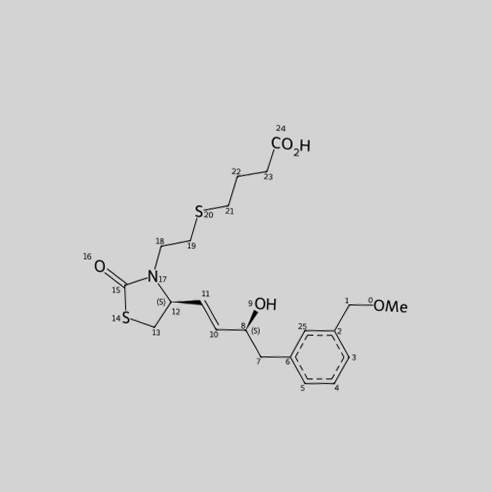 COCc1cccc(C[C@H](O)C=C[C@H]2CSC(=O)N2CCSCCCC(=O)O)c1